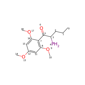 CCCC(P)C(=O)c1c(OC)cc(OC)cc1OC